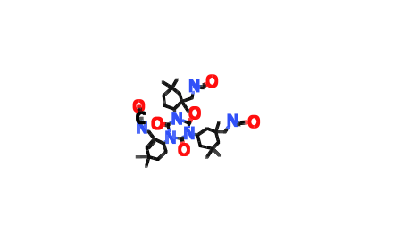 CC1(C)C=C(CN=C=O)C(n2c(=O)n(C3CC(C)(C)CC(C)(CN=C=O)C3)c(=O)n(C3CCC(C)(C)CC3(C)CN=C=O)c2=O)CC1